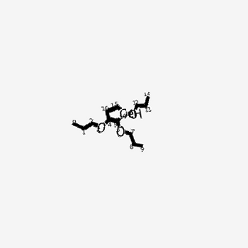 CCCOC1=[C](OCCC)[GeH]([O]CCC)[CH]=C1